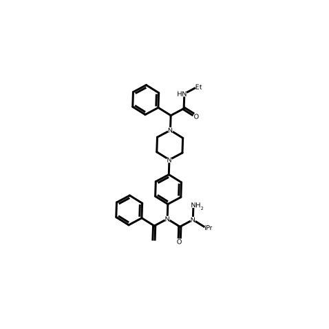 C=C(c1ccccc1)N(C(=O)N(N)C(C)C)c1ccc(N2CCN(C(C(=O)NCC)c3ccccc3)CC2)cc1